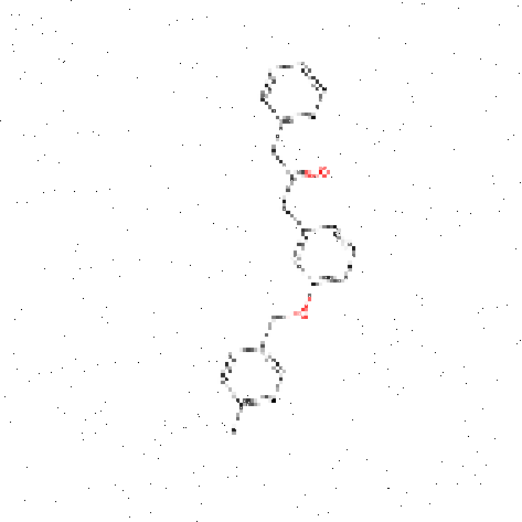 Cc1ccc(COc2cccc(CC(=O)Cc3ccccc3)c2)cc1